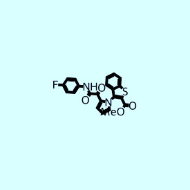 COC(=O)c1sc2ccccc2c1-n1cccc1C(=O)C(=O)Nc1ccc(F)cc1